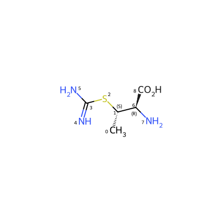 C[C@H](SC(=N)N)[C@H](N)C(=O)O